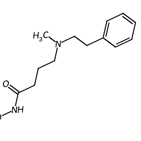 CN(CCCC(=O)NO)CCc1ccccc1